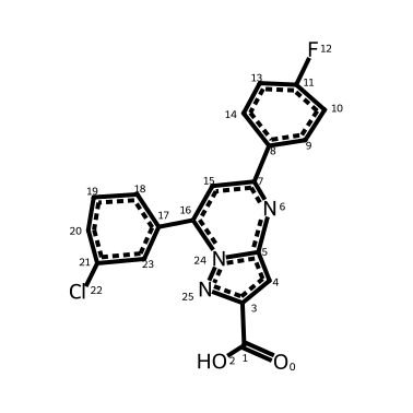 O=C(O)c1cc2nc(-c3ccc(F)cc3)cc(-c3cccc(Cl)c3)n2n1